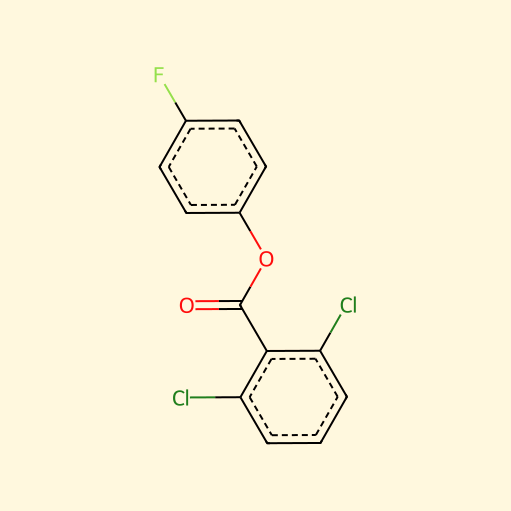 O=C(Oc1ccc(F)cc1)c1c(Cl)cccc1Cl